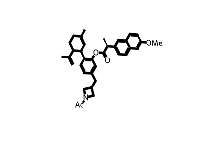 C=C(C)C1CCC(C)=CC1c1ccc(CC2CN(C(C)=O)C2)cc1OC(=O)[C@@H](C)c1ccc2cc(OC)ccc2c1